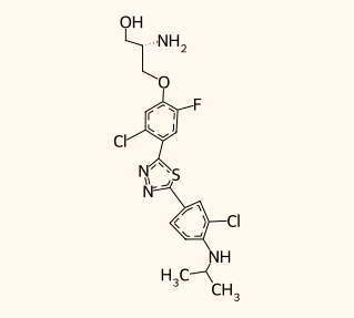 CC(C)Nc1ccc(-c2nnc(-c3cc(F)c(OC[C@@H](N)CO)cc3Cl)s2)cc1Cl